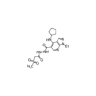 CCn1ncc2c(NC3CCCC3)c(C(=O)NNC(=O)CS(C)(=O)=O)cnc21